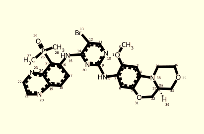 COc1cc2c(cc1Nc1ncc(Br)c(Nc3ccc4nccnc4c3P(C)(C)=O)n1)OC[C@@H]1COCCN21